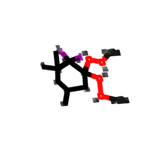 CC1CC(C)(C)C(I)(I)C(OOC(C)(C)C)(OOC(C)(C)C)C1